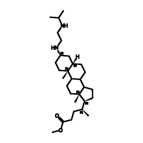 COC(=O)CC[C@@H](C)[C@H]1CCC2C3CC[C@@H]4C[C@@H](NCCNC(C)C)CC[C@]4(C)C3CC[C@@]21C